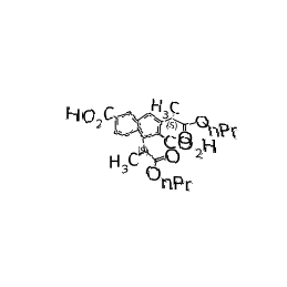 CCCOC(=O)[C@@H](C)c1cc2cc(C(=O)O)ccc2c([C@H](C)C(=O)OCCC)c1C(=O)O